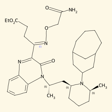 CCOC(=O)CC/C(=N\OCC(N)=O)c1nc2ccccc2n([C@@H](C)C[C@@H]2CCC[C@H](C)N2C2CC3CCCCC(C3)C2)c1=O